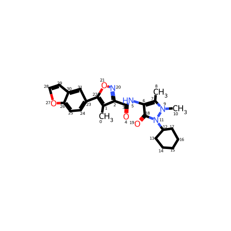 Cc1c(C(=O)Nc2c(C)n(C)n(C3CCCCC3)c2=O)noc1-c1ccc2occc2c1